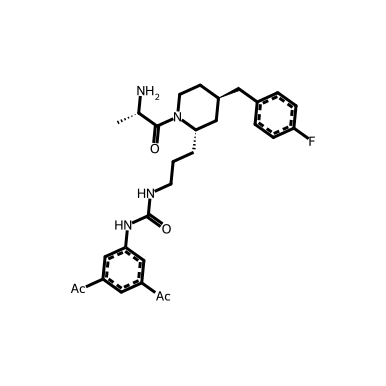 CC(=O)c1cc(NC(=O)NCCC[C@H]2C[C@H](Cc3ccc(F)cc3)CCN2C(=O)[C@H](C)N)cc(C(C)=O)c1